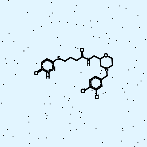 O=C(CCCSc1ccc(=O)[nH]n1)NCC1CN(Cc2ccc(Cl)c(Cl)c2)CCO1